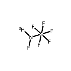 [3H]N(F)S(F)(F)(F)(F)F